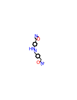 CN(C)C(=O)Cc1ccc(C=NNc2ccc(-c3cnco3)cc2)cc1